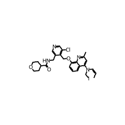 C/C=C\N(CI)c1cc(C)nc2c(OCc3c(Cl)cncc3CNC(=O)C3CCOCC3)cccc12